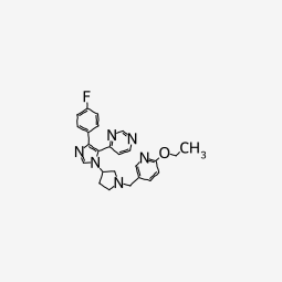 CCOc1ccc(CN2CCC(n3cnc(-c4ccc(F)cc4)c3-c3ccncn3)C2)cn1